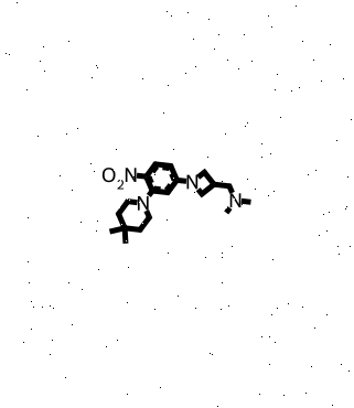 CN(C)CC1CN(c2ccc([N+](=O)[O-])c(N3CCC(C)(C)CC3)c2)C1